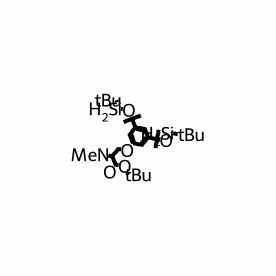 CNC(COc1cc(C(C)(C)O[SiH2]C(C)(C)C)cc(C(C)(C)O[SiH2]C(C)(C)C)c1)C(=O)OC(C)(C)C